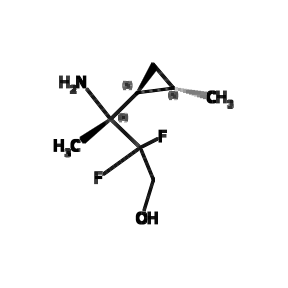 C[C@H]1C[C@@H]1[C@@](C)(N)C(F)(F)CO